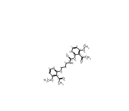 COc1ccnc(OCCCNC(=O)Oc2nccc(OC)c2C(C)=O)c1C(C)=O